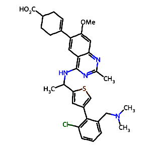 COc1cc2nc(C)nc(NC(C)c3cc(-c4c(Cl)cccc4CN(C)C)cs3)c2cc1C1=CCC(C(=O)O)CC1